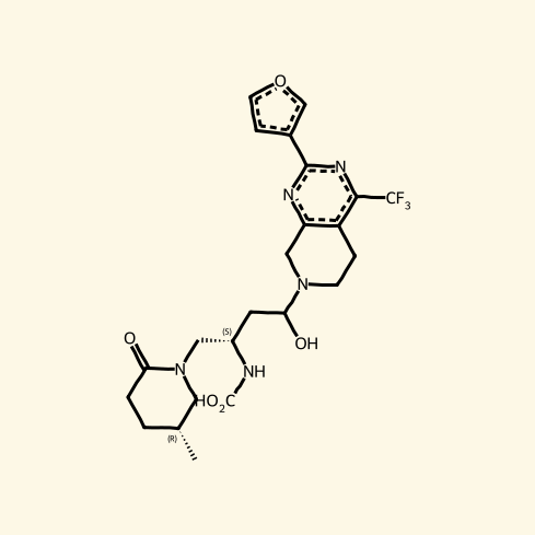 C[C@@H]1CCC(=O)N(C[C@H](CC(O)N2CCc3c(nc(-c4ccoc4)nc3C(F)(F)F)C2)NC(=O)O)C1